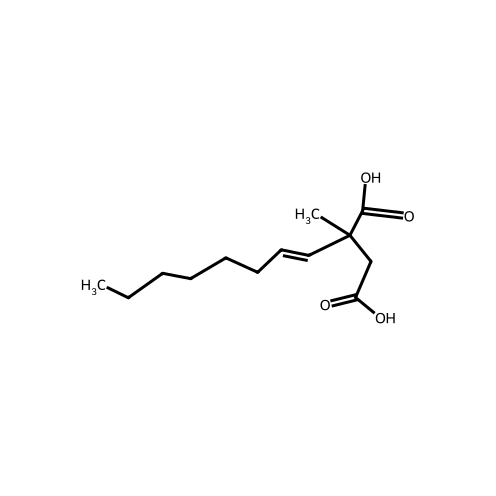 CCCCCC/C=C/C(C)(CC(=O)O)C(=O)O